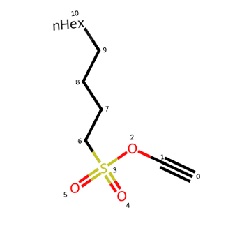 C#COS(=O)(=O)CCCCCCCCCC